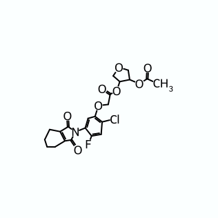 CC(=O)OC1COCC1OC(=O)COc1cc(N2C(=O)C3=C(CCCC3)C2=O)c(F)cc1Cl